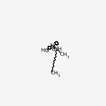 CCCCCCCCCCCCCCC(CCC)NC(=O)C(=Nc1ccc(O)cc1)c1ccccc1